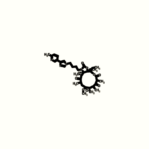 CCC1OC(=O)C(C)C(=O)C(C)[C@@H](C)[C@@](C)(OC)CC(C)C(=O)[C@H](C)[C@H]2N(CCCCn3cnc(-c4ccc(C)nc4)c3)C(=O)O[C@]12CC